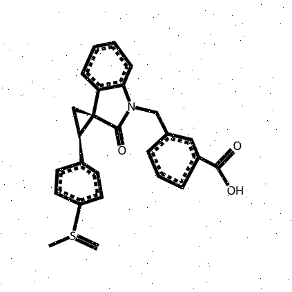 C=S(C)c1ccc([C@H]2C[C@@]23C(=O)N(Cc2cccc(C(=O)O)c2)c2ccccc23)cc1